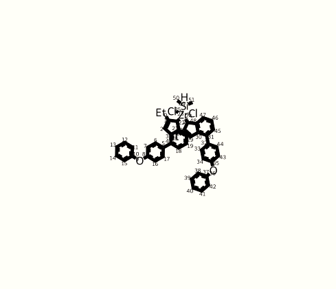 CCC1=Cc2c(-c3ccc(Oc4ccccc4)cc3)cccc2[CH]1[Zr]([Cl])([Cl])([CH]1C(CC)=Cc2c(-c3ccc(Oc4ccccc4)cc3)cccc21)[SiH](C)C